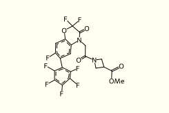 COC(=O)C1CN(C(=O)CN2C(=O)C(F)(F)Oc3cc(F)c(-c4c(F)c(F)c(F)c(F)c4F)cc32)C1